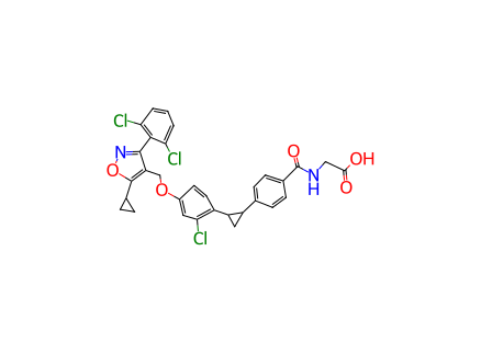 O=C(O)CNC(=O)c1ccc(C2CC2c2ccc(OCc3c(-c4c(Cl)cccc4Cl)noc3C3CC3)cc2Cl)cc1